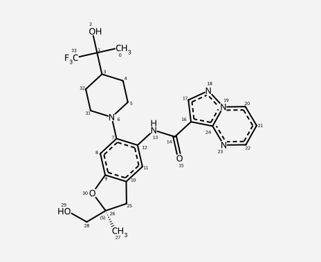 CC(O)(C1CCN(c2cc3c(cc2NC(=O)c2cnn4cccnc24)C[C@@](C)(CO)O3)CC1)C(F)(F)F